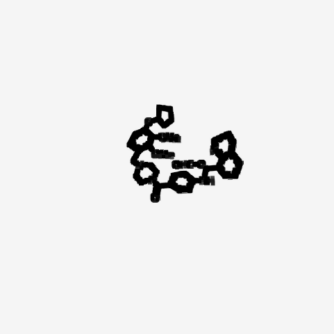 COc1c(CN2CCN(C(=O)c3ccc(NC(OC=O)c4cccc5cccnc45)cc3)CC2)ccc(OC2CCCC2)c1OC